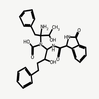 CC(O)C(N)(Cc1ccccc1)N(C(=O)O)C(NC(=O)C1NC(=O)c2ccccc21)C(O)CCc1ccccc1